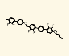 CCCCOc1ccc(C2=CCC(c3ccc(COC4CCC(c5ccc(C)c(F)c5F)CC4)c(F)c3F)CC2)c(F)c1F